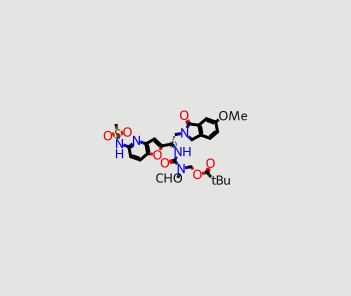 COc1ccc2c(c1)C(=O)N(C[C@H](NC(=O)N(C=O)COC(=O)C(C)(C)C)c1cc3nc(NS(C)(=O)=O)ccc3o1)C2